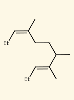 CCC=C(C)C[CH]C(C)C(C)=CCC